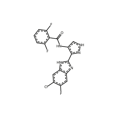 O=C(Nc1c[nH]nc1-c1nc2cc(F)c(Cl)cc2[nH]1)c1c(F)cccc1F